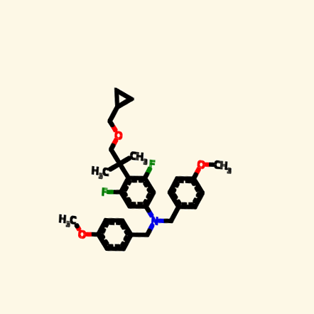 COc1ccc(CN(Cc2ccc(OC)cc2)c2cc(F)c(C(C)(C)COCC3CC3)c(F)c2)cc1